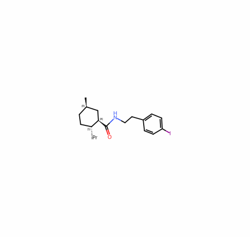 CC(C)[C@@H]1CC[C@@H](C)C[C@H]1C(=O)NCCc1ccc(I)cc1